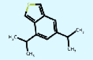 CC(C)c1cc(C(C)C)c2cscc2c1